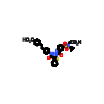 O=C(O)CN(C1CC1)S(=O)(=O)c1cccc(C(=O)Nc2sc3c(c2C(=O)Nc2ccc(CCc4ccc(C(=O)O)cc4)cc2)CCCC3)c1